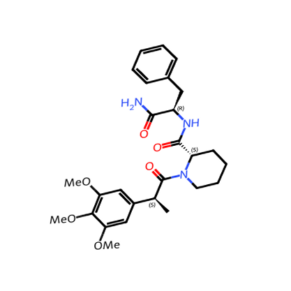 COc1cc([C@H](C)C(=O)N2CCCC[C@H]2C(=O)N[C@H](Cc2ccccc2)C(N)=O)cc(OC)c1OC